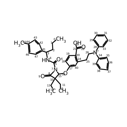 CCCC(NC(=O)N1C(=O)C(CC)(CC)C1Oc1ccc(C(=O)O)c(CCN(c2ccccc2)c2ccccc2)c1)c1ccc(C)cc1